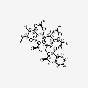 CC[C@@H]1O[C@H](OC(C)=O)[C@@H](O[C@H]2O[C@H](COC(C)=O)[C@@H](OCc3ccccc3)[C@H](OC(C)=O)[C@@H]2OC(C)=O)[C@@H](OC(C)=O)[C@@H]1C